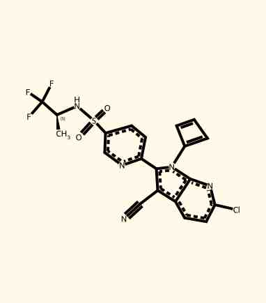 C[C@H](NS(=O)(=O)c1ccc(-c2c(C#N)c3ccc(Cl)nc3n2C2=CC=C2)nc1)C(F)(F)F